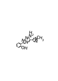 Cn1cc(-c2cn3cc(-c4ccccc4O)nc3nc2N)cn1